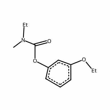 CCOc1cccc(OC(=O)N(C)CC)c1